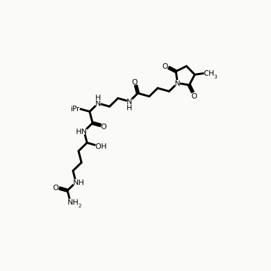 CC1CC(=O)N(CCCC(=O)NCCNC(C(=O)NC(O)CCCNC(N)=O)C(C)C)C1=O